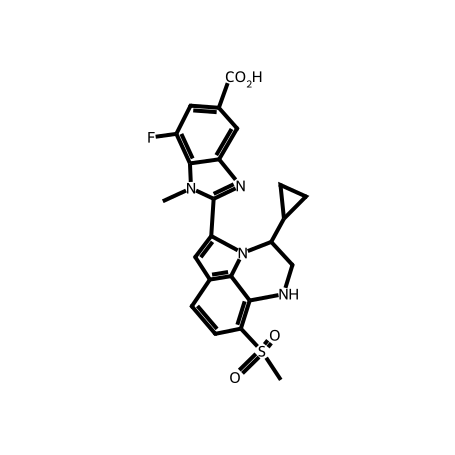 Cn1c(-c2cc3ccc(S(C)(=O)=O)c4c3n2C(C2CC2)CN4)nc2cc(C(=O)O)cc(F)c21